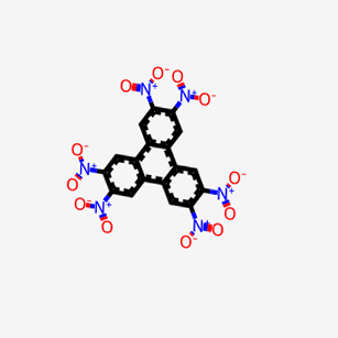 O=[N+]([O-])c1cc2c3cc([N+](=O)[O-])c([N+](=O)[O-])cc3c3cc([N+](=O)[O-])c([N+](=O)[O-])cc3c2cc1[N+](=O)[O-]